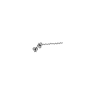 C=C(C)C(=O)OCCC=C(C)C(=O)OCCCCCCCCCCCCCCCCCC